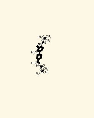 CC(CNC(=O)OC(C)(C)C)c1ccc(-c2ccc3c(cnn3C(=O)OC(C)(C)C)c2N)cc1